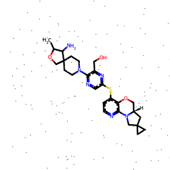 CC1OCC2(CCN(c3ncc(Sc4ccnc5c4OC[C@@H]4CC6(CC6)CN54)nc3CO)CC2)C1N